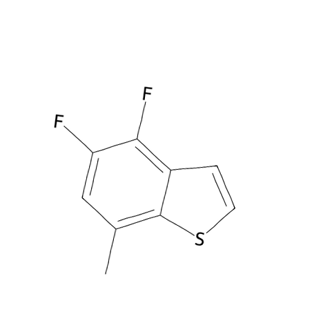 Cc1cc(F)c(F)c2ccsc12